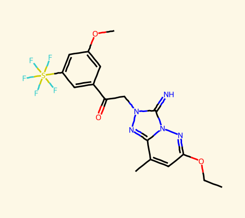 CCOc1cc(C)c2nn(CC(=O)c3cc(OC)cc(S(F)(F)(F)(F)F)c3)c(=N)n2n1